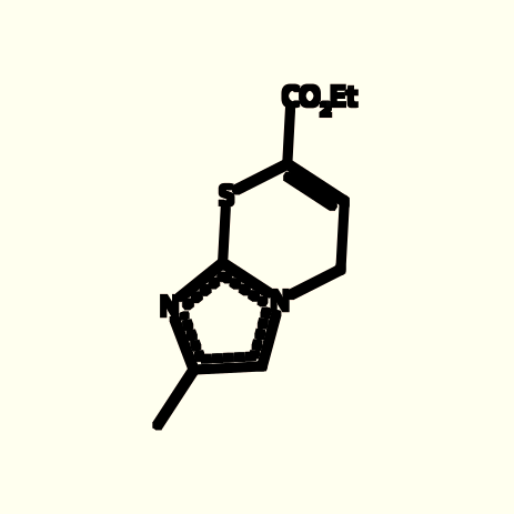 CCOC(=O)C1=CCn2cc(C)nc2S1